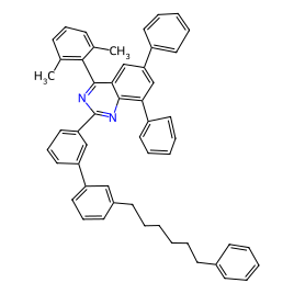 Cc1cccc(C)c1-c1nc(-c2cccc(-c3cccc(CCCCCCc4ccccc4)c3)c2)nc2c(-c3ccccc3)cc(-c3ccccc3)cc12